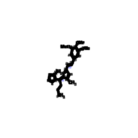 Bn1cccc1/C(CCN)=C1N=C(/C=C/c2cc(OC)c(OC)c(OC)c2)C=C\1C